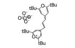 CC(C)(C)C1=CC(=C/C=C/c2cc(C(C)(C)C)[o+]c(C(C)(C)C)c2)C=C(C(C)(C)C)O1.[O-][Cl+3]([O-])([O-])[O-]